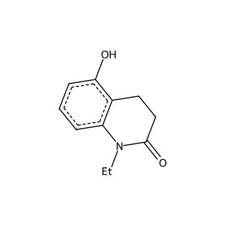 CCN1C(=O)CCc2c(O)cccc21